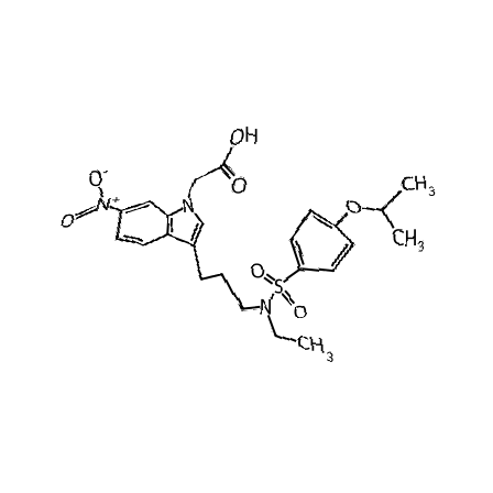 CCN(CCCc1cn(CC(=O)O)c2cc([N+](=O)[O-])ccc12)S(=O)(=O)c1ccc(OC(C)C)cc1